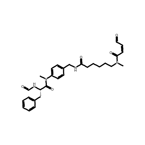 CN(CCCCCC(=O)NCc1ccc(N(C)C(=O)[C@H](Cc2ccccc2)NC=O)cc1)C(=O)/C=C\C=O